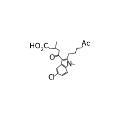 CC(=O)CCCCc1c(C(=O)CC(C)CC(=O)O)c2cc(Cl)ccc2n1C